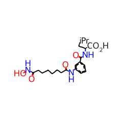 CC(C)C[C@H](NC(=O)c1cccc(NC(=O)CCCCCCC(=O)NO)c1)C(=O)O